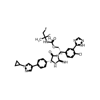 CC(C)(CF)NC(=O)OC[C@H](c1ccc(Cl)c(-c2ncn[nH]2)c1)N1C(=N)N[C@H](c2ccc(-c3cnn(C4CC4)c3)cc2)C1=O